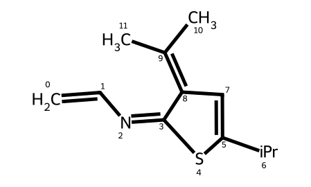 C=C/N=C1/SC(C(C)C)=CC1=C(C)C